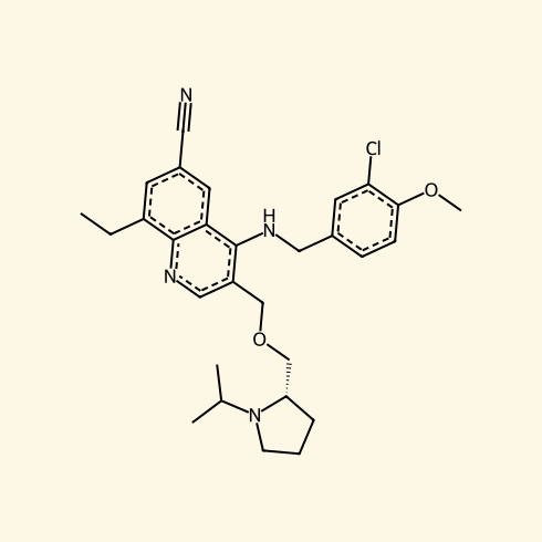 CCc1cc(C#N)cc2c(NCc3ccc(OC)c(Cl)c3)c(COC[C@@H]3CCCN3C(C)C)cnc12